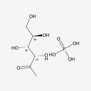 CC(=O)[C@@H](O)[C@H](O)[C@H](O)CO.O=P(O)(O)O